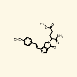 CC(C)(C)OC(=O)CCC(C(N)=O)N1Cc2c(csc2C=Cc2ccc(C=O)cc2)C1=O